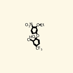 CCOc1cc(OC2(O)C=CC(C(F)(F)F)=CC2Cl)ccc1[N+](=O)[O-]